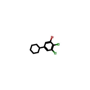 Clc1cc(C2CCCCC2)cc(Br)c1Cl